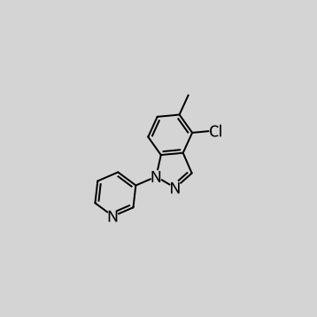 Cc1ccc2c(cnn2-c2cccnc2)c1Cl